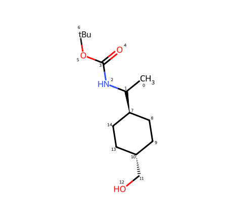 CC(NC(=O)OC(C)(C)C)[C@H]1CC[C@H](CO)CC1